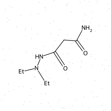 CCN(CC)NC(=O)CC(N)=O